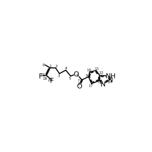 CC(CCCCOC(=O)c1ccc2[nH]nnc2c1)=C(F)F